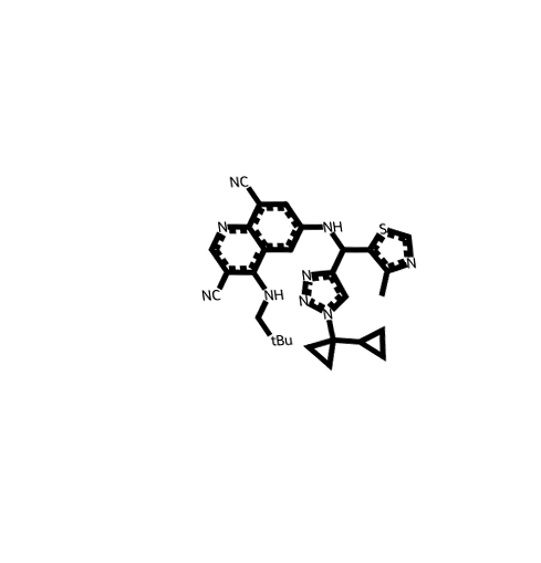 Cc1ncsc1C(Nc1cc(C#N)c2ncc(C#N)c(NCC(C)(C)C)c2c1)c1cn(C2(C3CC3)CC2)nn1